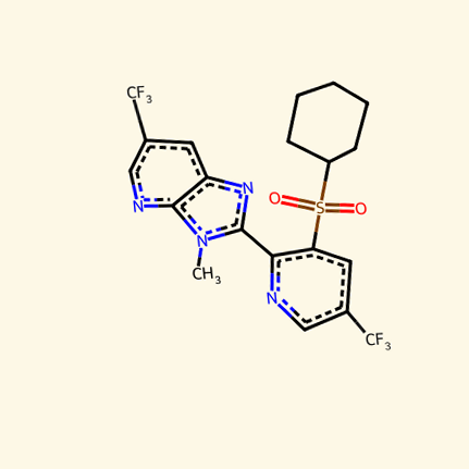 Cn1c(-c2ncc(C(F)(F)F)cc2S(=O)(=O)C2CCCCC2)nc2cc(C(F)(F)F)cnc21